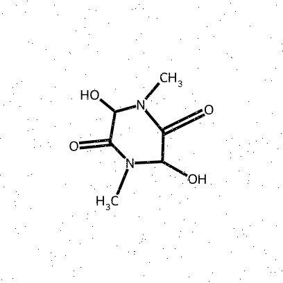 CN1C(=O)C(O)N(C)C(=O)C1O